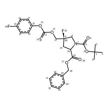 CC(C)(C)OC(=O)N1C[C@@](F)(COC(=S)Oc2ccc(F)cc2)CC1C(=O)OCc1ccccc1